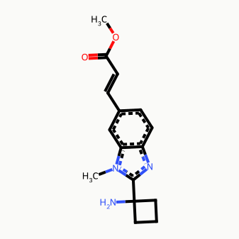 COC(=O)C=Cc1ccc2nc(C3(N)CCC3)n(C)c2c1